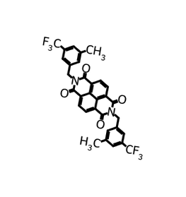 Cc1cc(CN2C(=O)c3ccc4c5c(ccc(c35)C2=O)C(=O)N(Cc2cc(C)cc(C(F)(F)F)c2)C4=O)cc(C(F)(F)F)c1